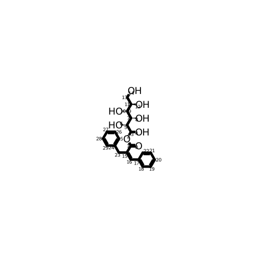 O=C(OC(O)[C@H](O)[C@@H](O)[C@H](O)[C@H](O)CO)C(=Cc1ccccc1)Cc1ccccc1